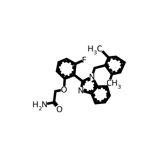 Cc1cccc(C)c1Cn1c(-c2c(F)cccc2OCC(N)=O)nc2ccccc21